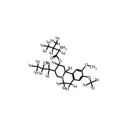 [2H]C([2H])([2H])Oc1cc2c(cc1OC)C1([2H])CC([2H])(OC(=O)[C@@]([2H])(N)C([2H])(C([2H])([2H])[2H])C([2H])([2H])[2H])C(C([2H])([2H])C([2H])(C)C([2H])([2H])[2H])CN1C([2H])([2H])C2([2H])[2H]